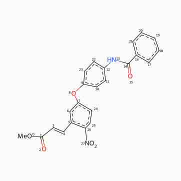 COC(=O)C=Cc1cc(Oc2ccc(NC(=O)c3ccccc3)cc2)ccc1[N+](=O)[O-]